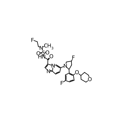 CN(CCF)S(=O)(=O)NC(=O)c1cnc2ccc(N3CC(F)CC3c3cc(F)ccc3OC3CCOCC3)cn12